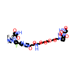 C[C@@H]1CN(c2cc(F)c(-c3ccc(N4CCN(C(=O)CCC(=O)NCCOCCOCCOCCOCCNc5cccc6c5C(=O)N(C5CCC(=O)NC5=O)C6=O)CC4)nc3)cc2NC(=O)c2c[nH]c(=O)cc2C(F)(F)F)C[C@H](C)N1C